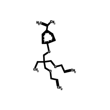 C=CCOCC(CC)(COCC=C)COc1ccc(C(=C)C)cc1